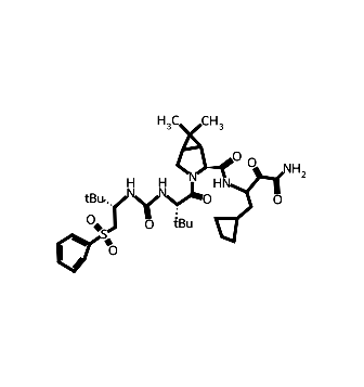 CC1(C)C2CN(C(=O)[C@@H](NC(=O)N[C@H](CS(=O)(=O)c3ccccc3)C(C)(C)C)C(C)(C)C)[C@H](C(=O)NC(CC3CCC3)C(=O)C(N)=O)C21